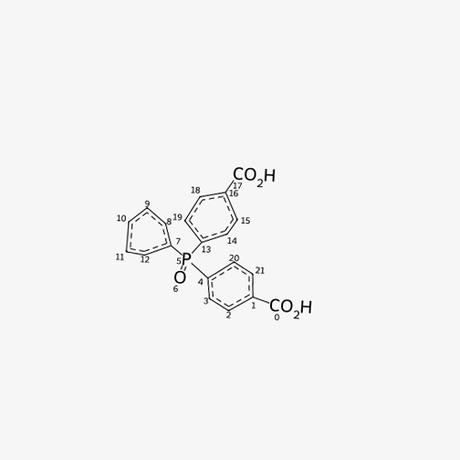 O=C(O)c1ccc(P(=O)(c2ccccc2)c2ccc(C(=O)O)cc2)cc1